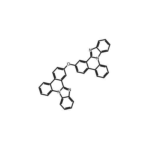 c1ccc2c(c1)nc1c3cc(Oc4ccc5c6ccccc6n6c7ccccc7nc6c5c4)ccc3c3ccccc3n21